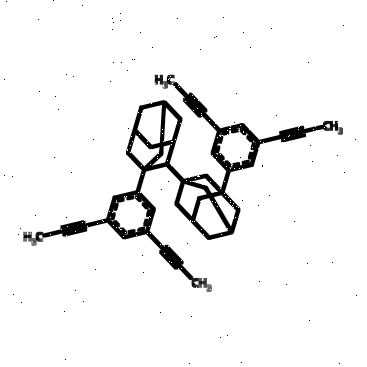 CC#Cc1cc(C#CC)cc(C23CC4CC(C2)CC(C2C5CC6CC(C5)CC2(c2cc(C#CC)cc(C#CC)c2)C6)(C4)C3)c1